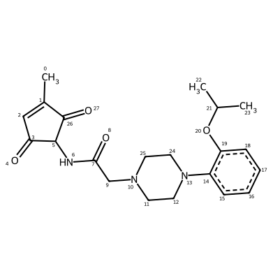 CC1=CC(=O)C(NC(=O)CN2CCN(c3ccccc3OC(C)C)CC2)C1=O